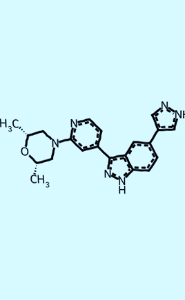 C[C@@H]1CN(c2cc(-c3n[nH]c4ccc(-c5cn[nH]c5)cc34)ccn2)C[C@H](C)O1